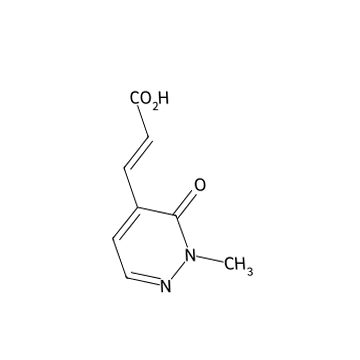 Cn1nccc(C=CC(=O)O)c1=O